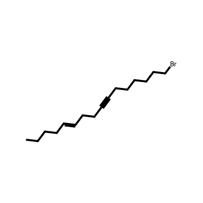 CCCC/C=C/CCC#CCCCCCCBr